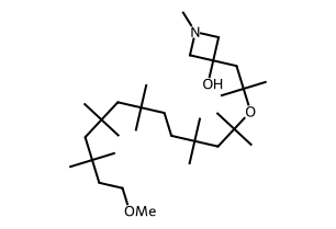 COCCC(C)(C)CC(C)(C)CC(C)(C)CCC(C)(C)CC(C)(C)OC(C)(C)CC1(O)CN(C)C1